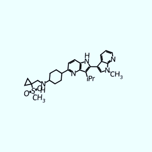 CC(C)c1c(-c2cn(C)c3ncccc23)[nH]c2ccc(C3CCC(NCC4(S(C)(=O)=O)CC4)CC3)nc12